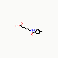 Cc1ccc(C(=O)NCCCCCC(=O)O)cc1